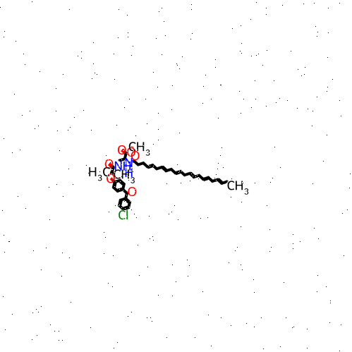 CCC=CCC=CCC=CCC=CCC=CCC=CCCC(=O)NC(CNC(=O)C(C)(C)Oc1ccc(C(=O)c2ccc(Cl)cc2)cc1)C(=O)OC